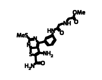 COC(=O)CNCC(=O)Nc1cccc(-c2nc(SC)nc3sc(C(N)=O)c(N)c23)c1